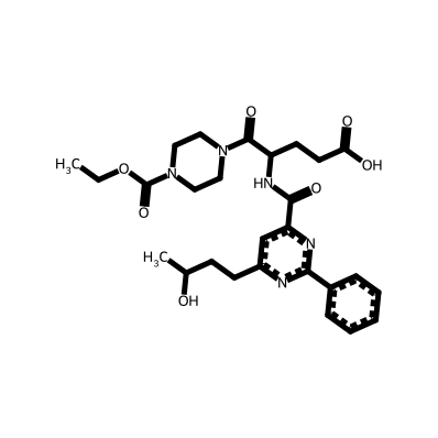 CCOC(=O)N1CCN(C(=O)C(CCC(=O)O)NC(=O)c2cc(CCC(C)O)nc(-c3ccccc3)n2)CC1